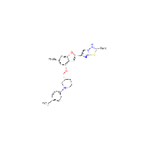 CCOC(=O)c1ccc(N2CCC[C@@H](COc3cc(OC)cc4oc(-c5cn6c(n5)SC(OC)N6)cc34)C2)cc1